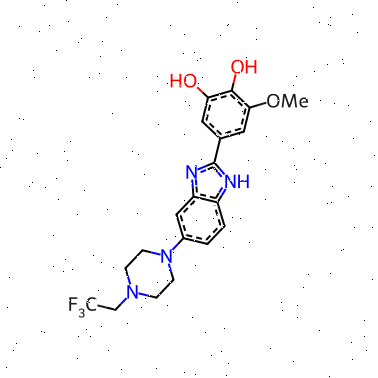 COc1cc(-c2nc3cc(N4CCN(CC(F)(F)F)CC4)ccc3[nH]2)cc(O)c1O